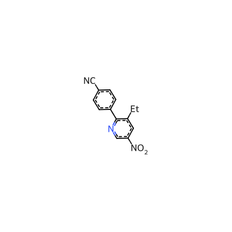 CCc1cc([N+](=O)[O-])cnc1-c1ccc(C#N)cc1